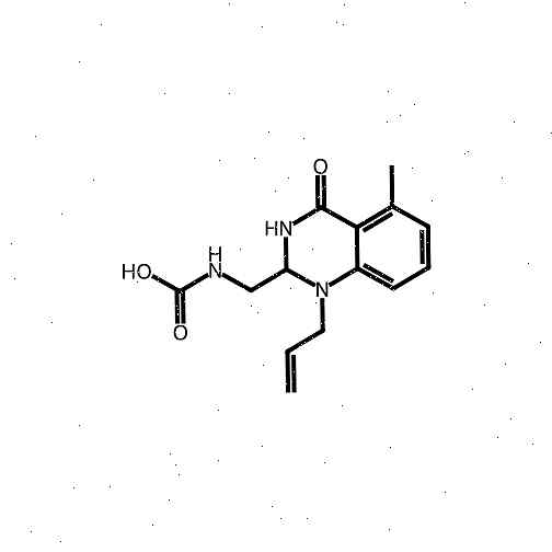 C=CCN1c2cccc(C)c2C(=O)NC1CNC(=O)O